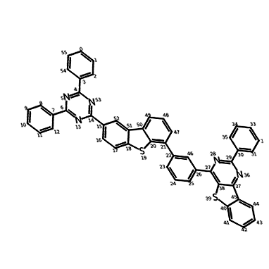 c1ccc(-c2nc(-c3ccccc3)nc(-c3ccc4sc5c(-c6cccc(-c7nc(-c8ccccc8)nc8c7sc7ccccc78)c6)cccc5c4c3)n2)cc1